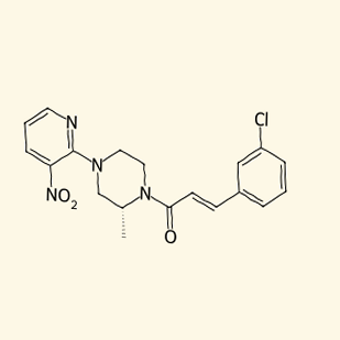 C[C@@H]1CN(c2ncccc2[N+](=O)[O-])CCN1C(=O)C=Cc1cccc(Cl)c1